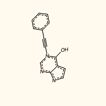 Oc1c2ccnc-2ncn1C#Cc1ccccc1